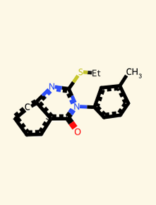 CCSc1nc2ccccc2c(=O)n1-c1cccc(C)c1